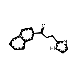 O=C(CCc1ncc[nH]1)c1ccc2ccccc2c1